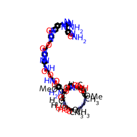 CO[C@H]1C[C@@H]2CC[C@@H](C)[C@@](O)(O2)C(=O)C(=O)N2CCCC[C@H]2C(=O)O[C@H]([C@H](N)C[C@@H]2CC[C@@H](OC(=O)NCCOCCC(=O)NCc3cnc(N4CCN(C(=O)CCOCCN5CCN(C(=O)N6CCc7cc(Cn8nc(-c9ccc%10oc(N)nc%10c9)c9c(N)ncnc98)ccc7C6)CC5)CC4)nc3)[C@H](OC)C2)CC(=O)[C@H](C)/C=C(\C)[C@@H](O)[C@@H](O)C(=O)[C@H](C)C[C@H](C)/C=C/C=C/C=C/1C